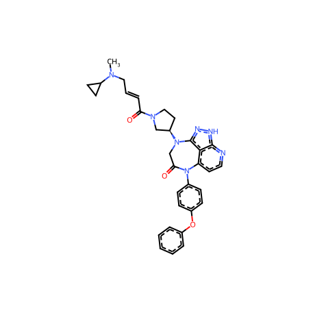 CN(C/C=C/C(=O)N1CC[C@@H](N2CC(=O)N(c3ccc(Oc4ccccc4)cc3)c3ccnc4[nH]nc2c34)C1)C1CC1